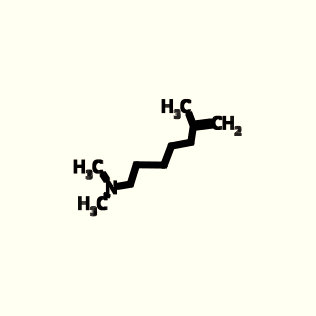 C=C(C)CCCCCN(C)C